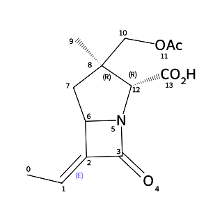 C/C=C1/C(=O)N2C1C[C@@](C)(COC(C)=O)[C@@H]2C(=O)O